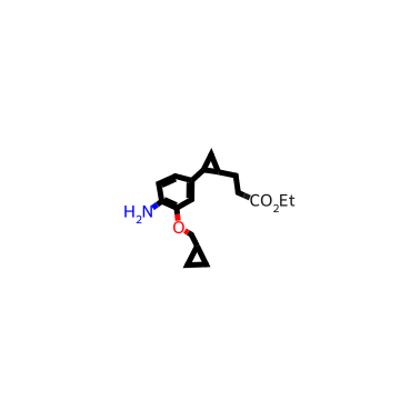 CCOC(=O)CCC1CC1c1ccc(N)c(OCC2CC2)c1